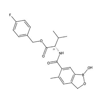 Cc1cc2c(cc1C(=O)N[C@H](C(=O)OCc1ccc(F)cc1)C(C)C)B(O)OC2